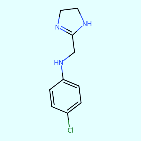 Clc1ccc(NCC2=NCCN2)cc1